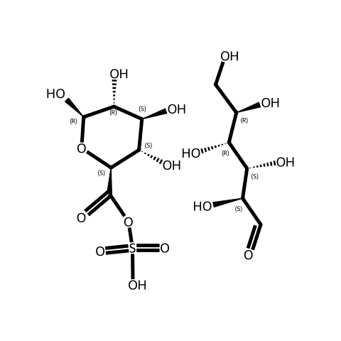 O=C(OS(=O)(=O)O)[C@H]1O[C@@H](O)[C@H](O)[C@@H](O)[C@@H]1O.O=C[C@@H](O)[C@@H](O)[C@H](O)[C@H](O)CO